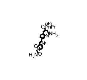 CCCN(CCC)C(=O)C1=Cc2ccc(-c3cc4c(=O)n(CC(N)=O)ccc4n3C)cc2N=C(N)C1